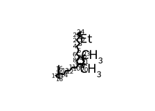 CCC1(CCCCCc2cc(CCCCCC3(I)CC3)c(C)cc2C)CC1